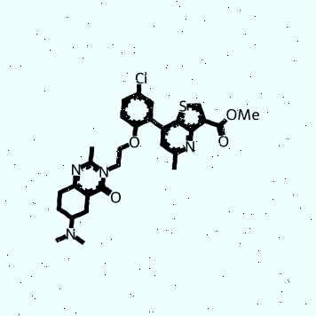 COC(=O)c1csc2c(-c3cc(Cl)ccc3OCCn3c(C)nc4c(c3=O)CC(N(C)C)CC4)cc(C)nc12